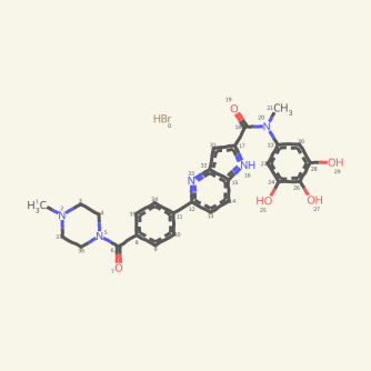 Br.CN1CCN(C(=O)c2ccc(-c3ccc4[nH]c(C(=O)N(C)c5cc(O)c(O)c(O)c5)cc4n3)cc2)CC1